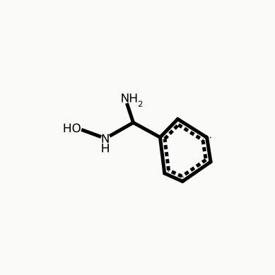 NC(NO)c1c[c]ccc1